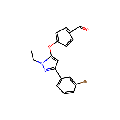 CCn1nc(-c2cccc(Br)c2)cc1Oc1ccc(C=O)cc1